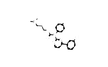 CN(C)CCCOC(=O)N(c1ccc(C(F)(F)F)cc1)c1nccc(-c2cccc(Cl)c2)n1